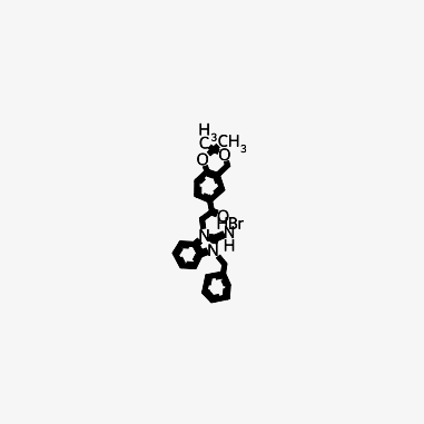 Br.CC1(C)OCc2cc(C(=O)Cn3c(=N)n(Cc4ccccc4)c4ccccc43)ccc2O1